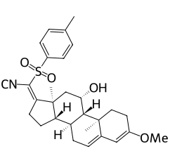 [C-]#[N+]/C(=C1\CC[C@H]2[C@@H]3CC=C4C=C(OC)CC[C@]4(C)[C@H]3[C@@H](O)C[C@]12C)S(=O)(=O)c1ccc(C)cc1